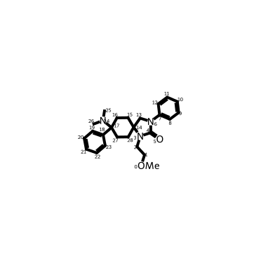 COCCN1C(=O)N(c2ccccc2)CC12CCC(c1ccccc1)(N(C)C)CC2